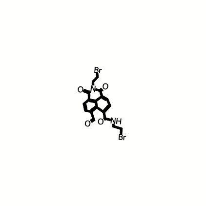 O=Cc1ccc2c3c(ccc(C(=O)NCCBr)c13)C(=O)N(CCBr)C2=O